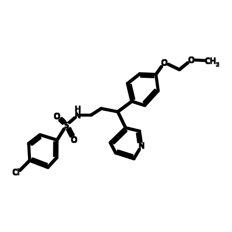 COCOc1ccc(C(CCNS(=O)(=O)c2ccc(Cl)cc2)c2cccnc2)cc1